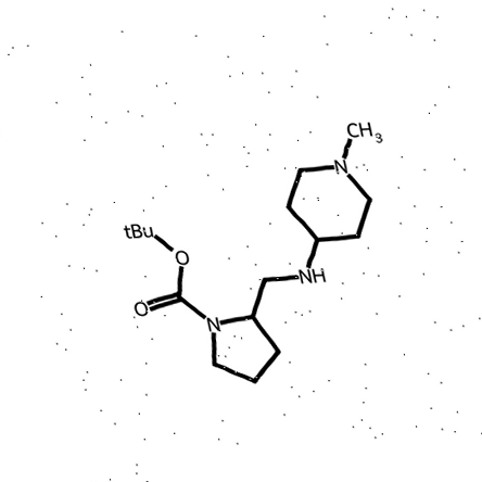 CN1CCC(NCC2CCCN2C(=O)OC(C)(C)C)CC1